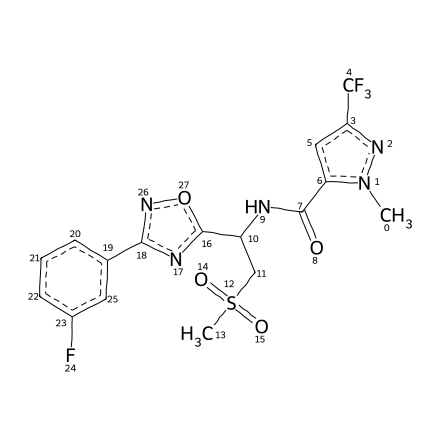 Cn1nc(C(F)(F)F)cc1C(=O)NC(CS(C)(=O)=O)c1nc(-c2cccc(F)c2)no1